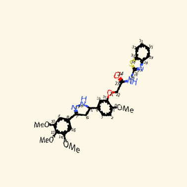 COc1ccc(C2CC(c3cc(OC)c(OC)c(OC)c3)=NN2)cc1OCC(=O)Nc1nc2ccccc2s1